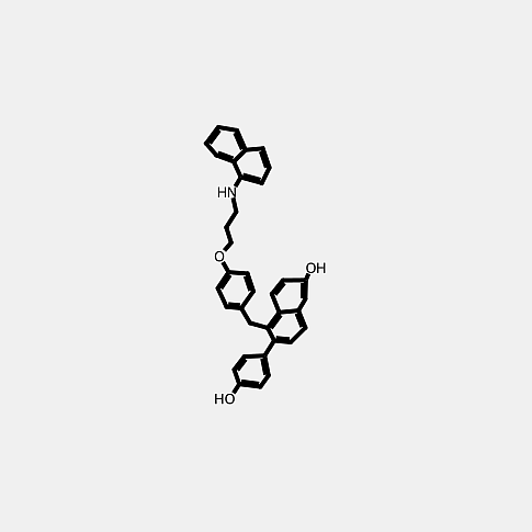 Oc1ccc(-c2ccc3cc(O)ccc3c2Cc2ccc(OCCCNc3cccc4ccccc34)cc2)cc1